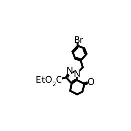 CCOC(=O)c1nn(Cc2ccc(Br)cc2)c2c1CCCC2=O